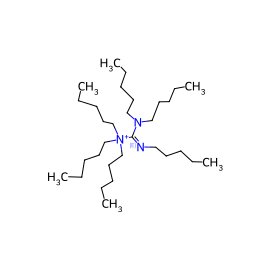 CCCCC/N=C(\N(CCCCC)CCCCC)[N+](CCCCC)(CCCCC)CCCCC